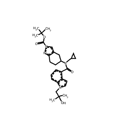 CC(C)(O)Cn1ccc2c(C(=O)N(C3CC3)C3CCc4nn(C(=O)OC(C)(C)C)cc4C3)cccc21